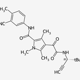 C#C[C@H](NC(=O)C(=O)c1c(C)c(C(=O)Nc2ccc(C)c(C#N)c2)n(C)c1C)C(C)(C)C